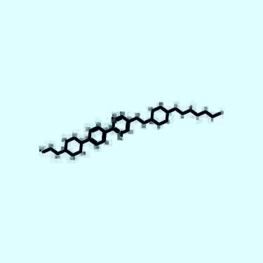 CCCCCCCC1CCC(CCc2cnc(-c3ccc(C4CCC(CCC)CC4)cc3)nc2)CC1